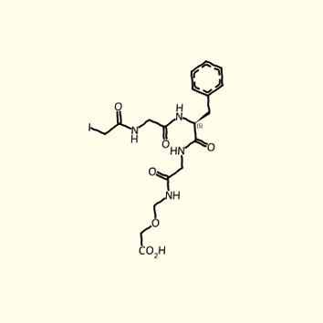 O=C(O)COCNC(=O)CNC(=O)[C@H](Cc1ccccc1)NC(=O)CNC(=O)CI